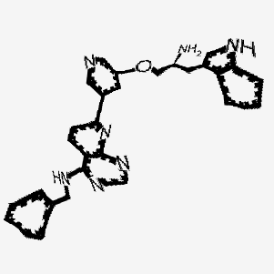 N[C@H](COc1cncc(-c2ccc3c(NCc4ccccc4)ncnc3n2)c1)Cc1c[nH]c2ccccc12